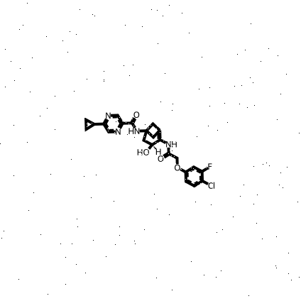 O=C(COc1ccc(Cl)c(F)c1)NC1=C2CC(NC(=O)c3cnc(C4CC4)cn3)(C2)C[C@@H]1O